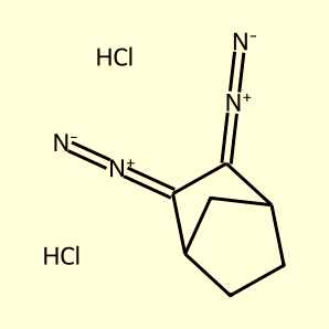 Cl.Cl.[N-]=[N+]=C1C(=[N+]=[N-])C2CCC1C2